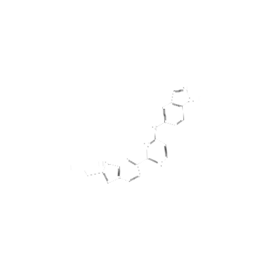 CCc1cc2ccc(-c3nccc(Nc4ccc5[nH]ncc5c4)n3)cc2[nH]1